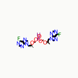 C[C@H](Cn1cnc2c(F)ncnc21)OCO[PH](=O)OCO[C@H](C)Cn1cnc2c(F)ncnc21